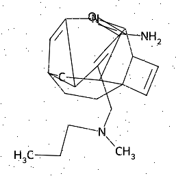 CCCN(C)CC1=CC2=NC3=CC4(CCC5(C=CC25)C(C(N)=O)C4)C13